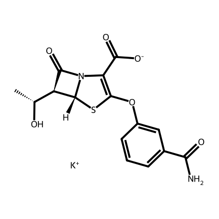 C[C@@H](O)[C@H]1C(=O)N2C(C(=O)[O-])=C(Oc3cccc(C(N)=O)c3)S[C@H]12.[K+]